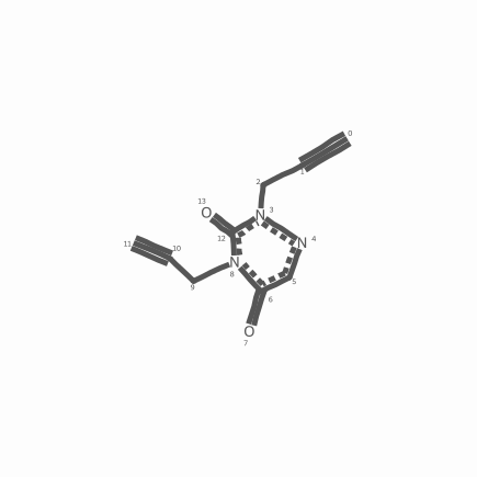 C#CCn1ncc(=O)n(CC#C)c1=O